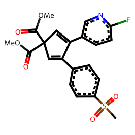 COC(=O)C1(C(=O)OC)C=C(c2ccc(S(C)(=O)=O)cc2)C(c2ccc(F)nc2)=C1